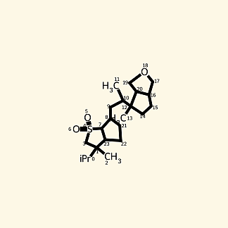 CC(C)C1(C)CS(=O)(=O)C2C(CC(C)C3(C)CCC4COCC43)CCC21